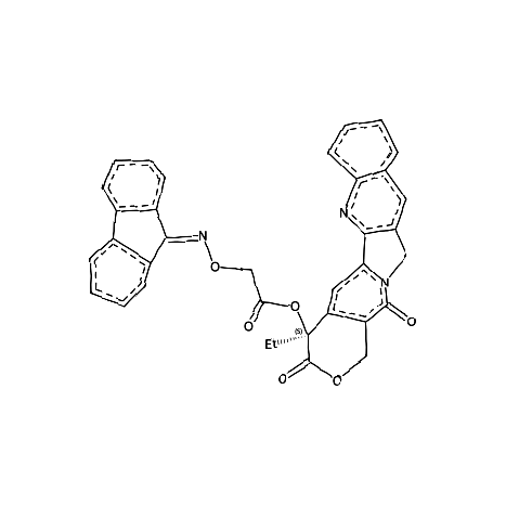 CC[C@@]1(OC(=O)CON=C2c3ccccc3-c3ccccc32)C(=O)OCc2c1cc1n(c2=O)Cc2cc3ccccc3nc2-1